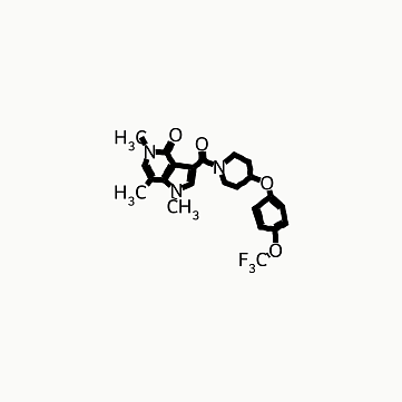 Cc1cn(C)c(=O)c2c(C(=O)N3CCC(Oc4ccc(OC(F)(F)F)cc4)CC3)cn(C)c12